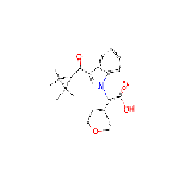 CC1(C)C(C(=O)c2cn(C(C(=O)O)C3CCOCC3)c3ccccc23)C1(C)C